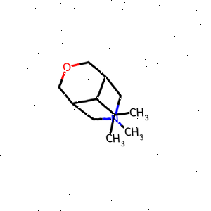 CC(C)C1C2COCC1CN(C)C2